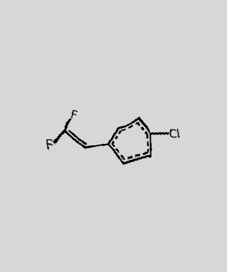 FC(F)=Cc1ccc(Cl)cc1